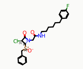 O=C(CN1C(=O)[C@H](Cl)[C@H]1[S@@+]([O-])Cc1ccccc1)NCCCCCCc1ccc(F)cc1